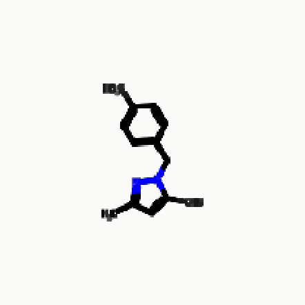 Cc1cc(C=O)n(Cc2ccc(S(=O)(=O)O)cc2)n1